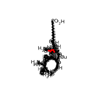 CCCC[C@H](NC(=O)[C@H](CO)NC(=O)[C@H](Cc1c[nH]cn1)NC(=O)[C@H](CCC(N)=O)NC(=O)[C@H](CO)NC(=O)CNC(=O)CCCCCCCCCCCCCCC(=O)O)C(=O)N[C@H]1CCC(=O)CCNCCCC[C@@H](C(N)=O)NC(=O)[C@H](Cc2c[nH]c3ccccc23)NC(=O)[C@H](CCCNC(=N)N)NC(=O)[C@@H](Cc2ccccc2)NC(=O)[C@@H]2C[C@@H](O)CN2C1=O